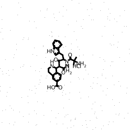 CC(C)(N)C(=O)NC(Cc1c[nH]c2ccccc12)C(=O)C(C(N)=O)C1NCCc2cc(C(=O)O)ccc21.Cl